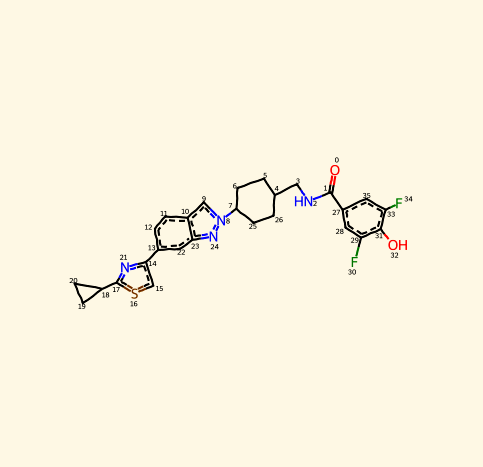 O=C(NCC1CCC(n2cc3ccc(-c4csc(C5CC5)n4)cc3n2)CC1)c1cc(F)c(O)c(F)c1